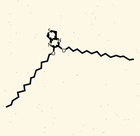 CCCCCCCCCCCCCCCOc1nc2cscc2nc1OCCCCCCCCCCCCCCC